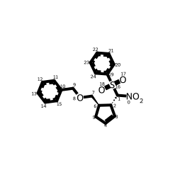 O=[N+]([O-])C([C@@H]1C=CC[C@H]1COCc1ccccc1)S(=O)(=O)c1ccccc1